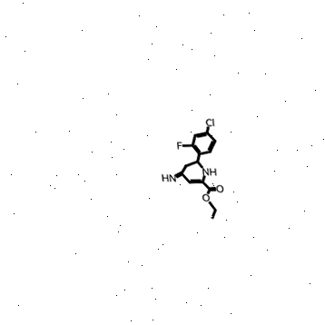 CCOC(=O)C1=CC(=N)CC(c2ccc(Cl)cc2F)N1